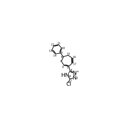 ClC1N=[N+]=C(C2=CCC(c3ccccc3)CC#C2)N1